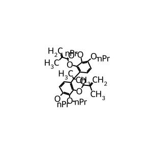 C=C(C)C(=O)Oc1c(C(C)(C)c2ccc(OCCC)c(OCCC)c2OC(=O)C(=C)C)ccc(OCCC)c1OCCC